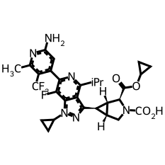 Cc1nc(N)cc(-c2nc(C(C)C)c3c([C@@H]4[C@H]5CN(C(=O)O)[C@H](C(=O)OC6CC6)[C@H]54)nn(C4CC4)c3c2F)c1C(F)(F)F